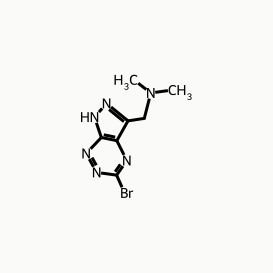 CN(C)Cc1n[nH]c2nnc(Br)nc12